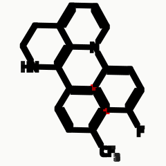 Fc1ccc(N2C=CC=C3CCNC(c4ccc(C(F)(F)F)cc4)=C32)cc1